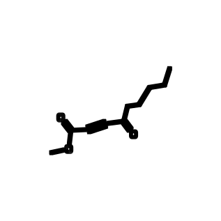 CCCCCC(=O)C#CC(=O)OC